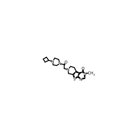 Cn1cnc2sc3c(c2c1=O)CCN(CC(=O)N1CCN(C2CCC2)CC1)C3